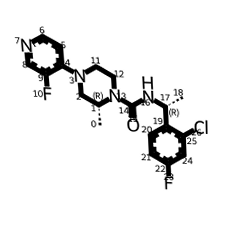 C[C@@H]1CN(c2ccncc2F)CCN1C(=O)N[C@H](C)c1ccc(F)cc1Cl